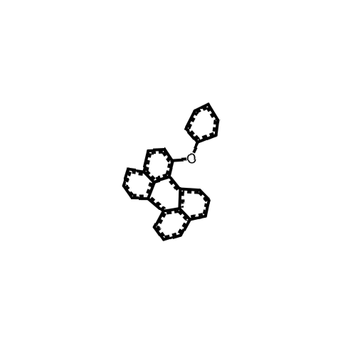 c1ccc(Oc2ccc3cccc4c5cccc6cccc(c2c34)c65)cc1